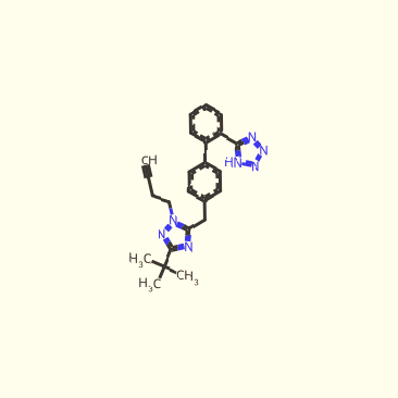 C#CCCn1nc(C(C)(C)C)nc1Cc1ccc(-c2ccccc2-c2nnn[nH]2)cc1